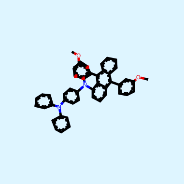 COc1cccc(-c2c3ccccc3c(-c3cccc(OC)c3)c3c(N(c4ccccc4)c4ccc(N(c5ccccc5)c5ccccc5)cc4)cccc23)c1